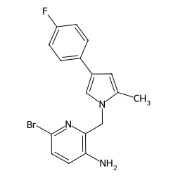 Cc1cc(-c2ccc(F)cc2)cn1Cc1nc(Br)ccc1N